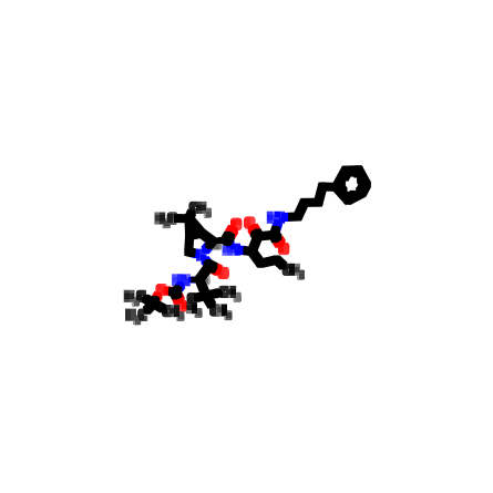 CCCC(NC(=O)[C@@H]1C2C(CN1C(=O)[C@@H](NC(=O)OC(C)(C)C)C(C)(C)C)C2(C)C)C(=O)C(=O)NCCCCc1ccccc1